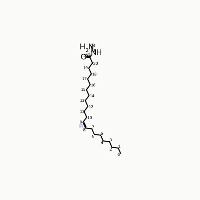 CCCCCCCC/C=C\CCCCCCCCCCCC(=O)NN